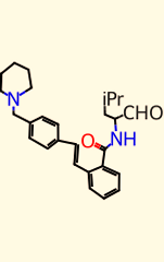 CC(C)CC(C=O)NC(=O)c1ccccc1/C=C/c1ccc(CN2CCCCC2)cc1